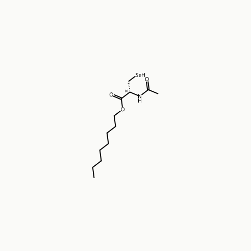 CCCCCCCCOC(=O)[C@H](C[SeH])NC(C)=O